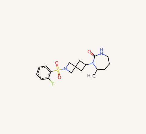 CC1CCCNC(=O)N1C1CC2(C1)CN(S(=O)(=O)c1ccccc1F)C2